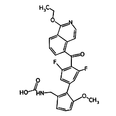 CCOc1nccc2c(C(=O)c3c(F)cc(-c4c(CNC(=O)O)cccc4OC)cc3F)cccc12